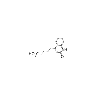 O=C(O)CCCCc1cc(=O)[nH]c2ccccc12